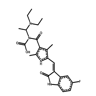 CCN(CC)C(C)N(C(=O)O)C(=O)c1c(C)[nH]c(/C=C2\C(=O)Nc3ccc(F)cc32)c1C